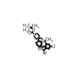 C[C@H](OCC1(c2ccc(F)cc2)CCN(C(=O)OC(C)(C)C)CC1)c1cc(Cl)cc2c(Br)n[nH]c12